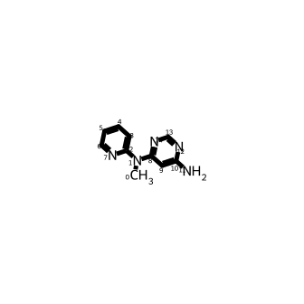 CN(c1ccccn1)c1cc(N)ncn1